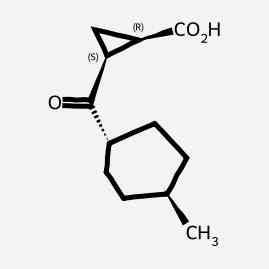 C[C@H]1CC[C@H](C(=O)[C@H]2C[C@H]2C(=O)O)CC1